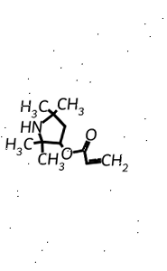 C=CC(=O)OC1CC(C)(C)NC1(C)C